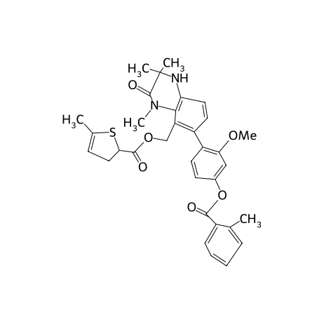 COc1cc(OC(=O)c2ccccc2C)ccc1-c1ccc2c(c1COC(=O)C1CC=C(C)S1)N(C)C(=O)C(C)(C)N2